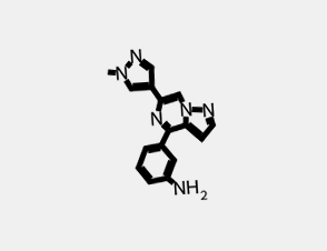 Cn1cc(-c2cn3nccc3c(-c3cccc(N)c3)n2)cn1